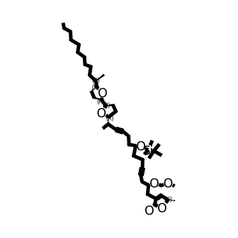 CCCCCCCCCC[C@@H](C)[C@H]1CC[C@H]([C@H]2CC[C@H](C(C)C#CCCC(CCC#CCC(CC3=C[C@H](C)OC3=O)OCOC)O[Si](C)(C)C(C)(C)C)O2)O1